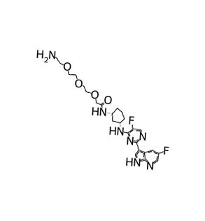 NCCOCCOCCOCC(=O)N[C@@H]1CCC[C@H](Nc2nc(-c3c[nH]c4ncc(F)cc34)ncc2F)C1